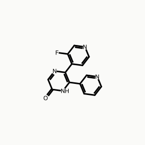 O=c1cnc(-c2ccncc2F)c(-c2cccnc2)[nH]1